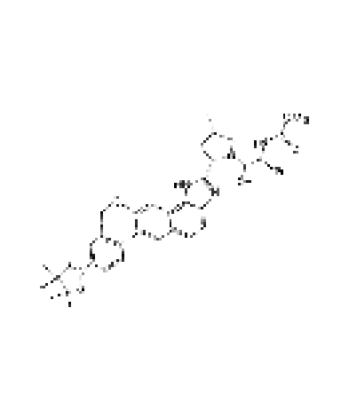 COC(=O)N[C@@H](C(C)C)C(O)N1C[C@@H](C)C[C@H]1c1nc2ccc3cc4c(cc3c2[nH]1)OCc1cc(B2OC(C)(C)C(C)(C)O2)ccc1-4